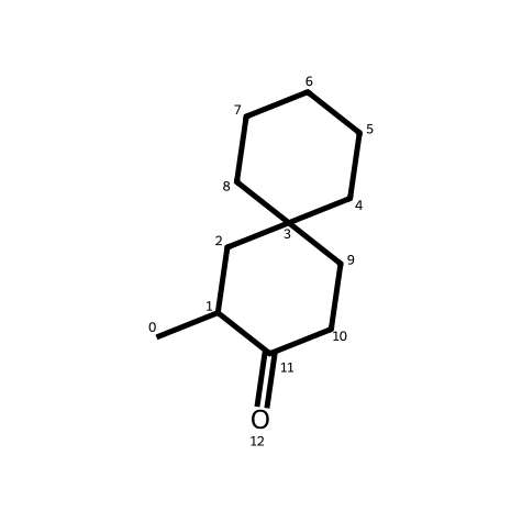 CC1CC2(CCCCC2)CCC1=O